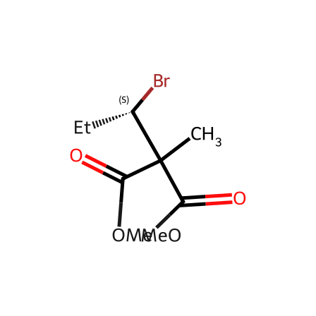 CC[C@H](Br)C(C)(C(=O)OC)C(=O)OC